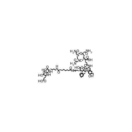 NC(=O)CN1CCN(CC(N)=O)CCN([C@H](CCC(=O)NC(Cc2ccc(O)c(I)c2)C(=O)N[C@H](Cc2ccccc2)C(=O)N[C@H](CCCCNC(=O)CCCCCCC(=O)NCCCC[C@H](NC(=O)N[C@@H](CCC(=O)O)C(=O)O)C(=O)O)C(=O)O)C(=O)O)CCN(CC(N)=O)CC1